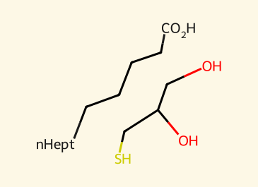 CCCCCCCCCCCC(=O)O.OCC(O)CS